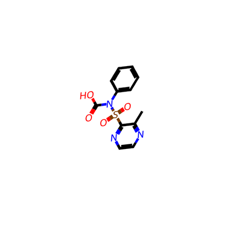 Cc1nccnc1S(=O)(=O)N(C(=O)O)c1ccccc1